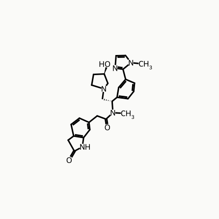 CN(C(=O)Cc1ccc2c(c1)NC(=O)C2)[C@H](CN1CC[C@@H](O)C1)c1cccc(-c2nccn2C)c1